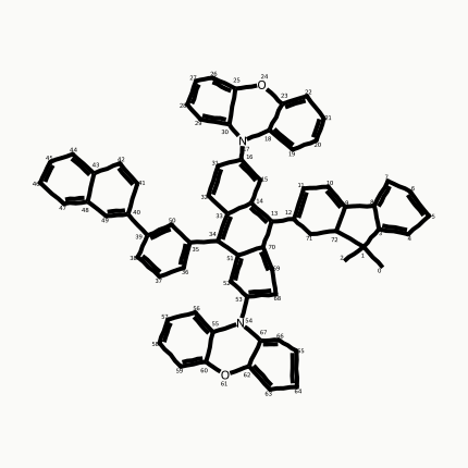 CC1(C)c2ccccc2C2=CC=C(c3c4cc(N5c6ccccc6Oc6ccccc65)ccc4c(-c4cccc(-c5ccc6ccccc6c5)c4)c4cc(N5c6ccccc6Oc6ccccc65)ccc34)CC21